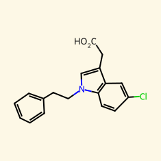 O=C(O)Cc1cn(CCc2ccccc2)c2ccc(Cl)cc12